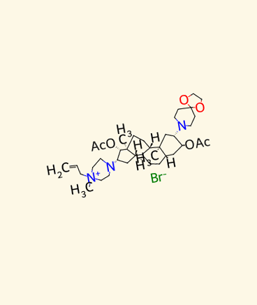 C=CC[N+]1(C)CCN([C@H]2C[C@H]3[C@@H]4CC[C@H]5C[C@H](OC(C)=O)[C@@H](N6CCC7(CC6)OCCO7)C[C@]5(C)[C@H]4CC[C@]3(C)[C@H]2OC(C)=O)CC1.[Br-]